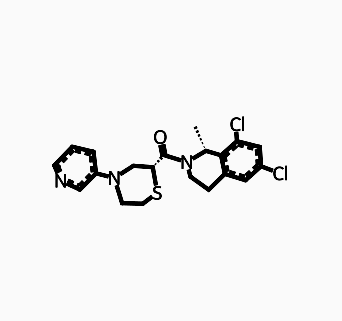 C[C@@H]1c2c(Cl)cc(Cl)cc2CCN1C(=O)[C@H]1CN(c2cccnc2)CCS1